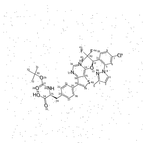 Cc1ccn(-c2cc(Cl)ccc2[C@@H](Oc2ncnc3c(-c4ccc(C[C@H](NC(=O)OC(C)(C)C)C(=O)O)cc4)csc23)C(F)(F)F)n1